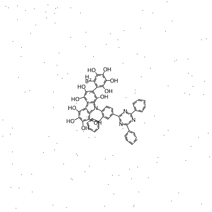 Bc1c(O)c(O)c(O)c(O)c1-c1c(O)c(O)c2c3c(O)c(O)c(O)c(O)c3n(-c3ccc(-c4nc(-c5ccccc5)nc(-c5ccccc5)n4)cc3-c3ccccc3)c2c1O